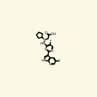 O=C(O)CN(Nc1nc(-c2c[nH]c3ncc(F)cc23)ncc1F)C1CCCC1